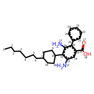 CCCCCCCC1CCC(c2c(N)cc(C(=O)O)c(-c3ccccc3)c2N)CC1